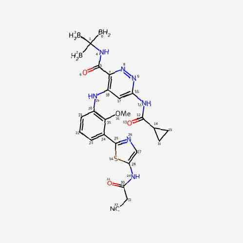 BC(B)(B)NC(=O)c1nnc(NC(=O)C2CC2)cc1Nc1cccc(-c2ncc(NC(=O)CC#N)s2)c1OC